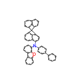 c1ccc(-c2ccc(N(c3ccc4c5c(cccc35)C43c4cccc5cccc3c45)c3cccc4c3oc3ccccc34)cc2)cc1